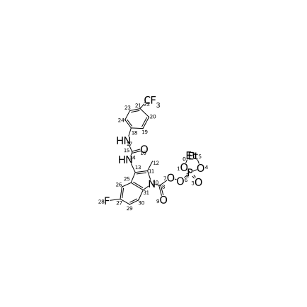 CCOP(=O)(OCC)OOC(=O)n1c(C)c(NC(=O)Nc2ccc(C(F)(F)F)cc2)c2cc(F)ccc21